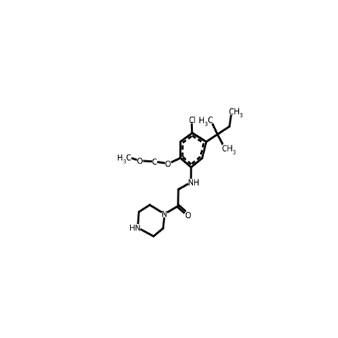 CCC(C)(C)c1cc(NCC(=O)N2CCNCC2)c(OCOC)cc1Cl